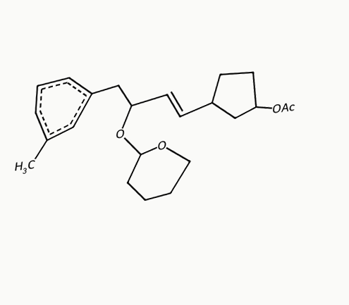 CC(=O)OC1CCC(C=CC(Cc2cccc(C)c2)OC2CCCCO2)C1